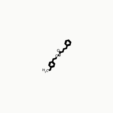 CCc1ccc(CCOOC(=O)CCCc2ccccc2)cc1